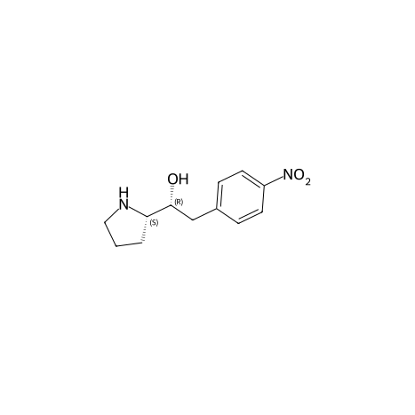 O=[N+]([O-])c1ccc(C[C@@H](O)[C@@H]2CCCN2)cc1